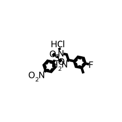 Cc1cc(C(N)CN(C)S(=O)(=O)c2ccc([N+](=O)[O-])cc2)ccc1F.Cl